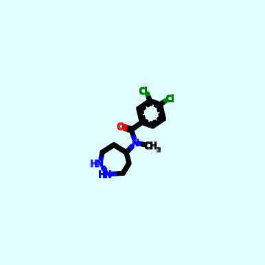 CN(C(=O)c1ccc(Cl)c(Cl)c1)C1CCNNCC1